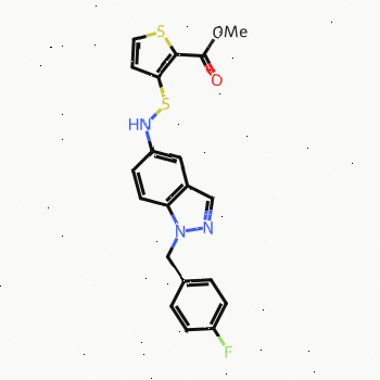 COC(=O)c1sccc1SNc1ccc2c(cnn2Cc2ccc(F)cc2)c1